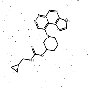 O=C(NCC1CC1)OC1CCCN(c2cnnc3cnc4[nH]ccc4c23)C1